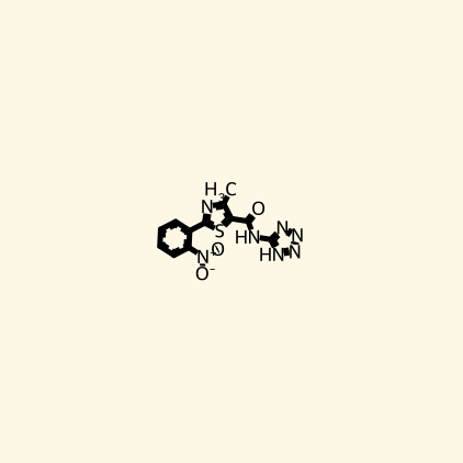 Cc1nc(-c2ccccc2[N+](=O)[O-])sc1C(=O)Nc1nnn[nH]1